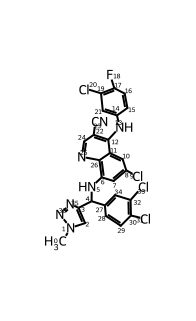 Cn1cc(C(Nc2cc(Cl)cc3c(Nc4ccc(F)c(Cl)c4)c(C#N)cnc23)c2ccc(Cl)c(Cl)c2)nn1